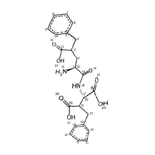 N[C@@H](CC(Cc1ccccc1)C(=O)O)C(=O)N[C@H](C(=O)O)C(Cc1ccccc1)C(=O)O